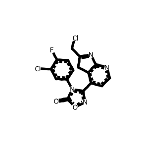 O=c1onc(-c2ccnc3c2CC(CCl)=N3)n1-c1ccc(F)c(Cl)c1